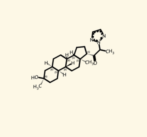 CC(C(=O)[C@H]1CC[C@H]2[C@@H]3CC[C@@H]4C[C@](C)(O)CC[C@@H]4[C@H]3CC[C@]12C)n1nccn1